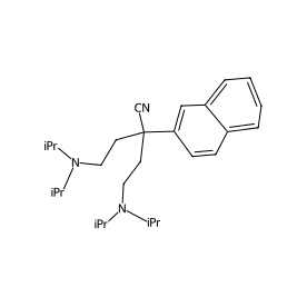 CC(C)N(CCC(C#N)(CCN(C(C)C)C(C)C)c1ccc2ccccc2c1)C(C)C